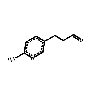 Nc1ccc(CCC=O)cn1